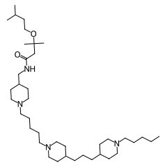 CCCCCN1CCC(CCCC2CCN(CCCCCN3CCC(CNC(=O)CC(C)(C)OCCC(C)C)CC3)CC2)CC1